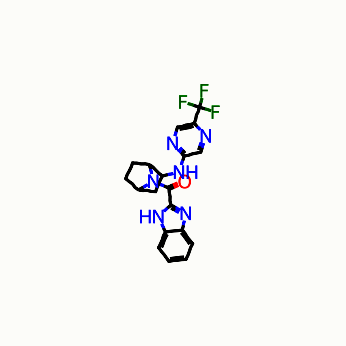 O=C(c1nc2ccccc2[nH]1)N1C2CCC1C(Nc1cnc(C(F)(F)F)cn1)C2